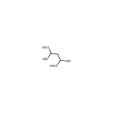 CCCCCCCCC([CH]C(CCC)CCCCCC)CCCC